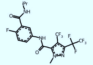 CC(C)NC(=O)c1cc(NC(=O)c2c(C(F)(F)F)c(C(F)(F)C(F)(F)F)nn2C)ccc1F